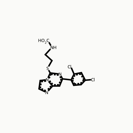 O=C(O)NCCSc1nc(-c2ccc(Cl)cc2Cl)cc2nccn12